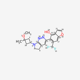 COC1(C)CC(N2CCc3cc(-c4c(C(F)F)cc5occc5c4O)nnc32)C1